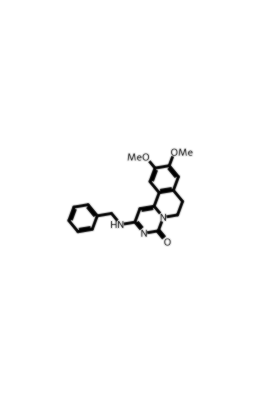 COc1cc2c(cc1OC)-c1cc(NCc3ccccc3)nc(=O)n1CC2